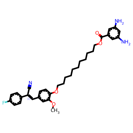 COc1cc(/C=C(\C#N)c2ccc(F)cc2)ccc1OCCCCCCCCCCCOC(=O)c1cc(N)cc(N)c1